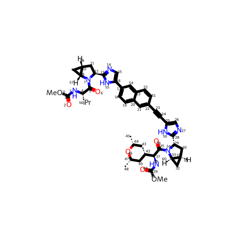 COC(=O)N[C@H](C(=O)N1[C@@H]2C[C@@H]2C[C@H]1c1ncc(-c2ccc3cc(C#Cc4cnc([C@@H]5C[C@H]6C[C@H]6N5C(=O)[C@@H](NC(=O)OC)[C@H]5C[C@@H](C)O[C@@H](C)C5)[nH]4)ccc3c2)[nH]1)C(C)C